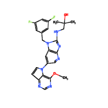 COc1ncnc2ccn(-c3cnc4nc(NCC(C)(C)O)n(Cc5cc(F)cc(F)c5)c4c3)c12